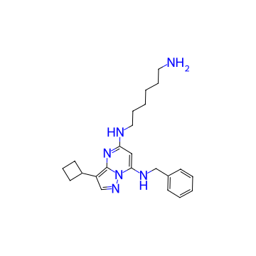 NCCCCCCNc1cc(NCc2ccccc2)n2ncc(C3CCC3)c2n1